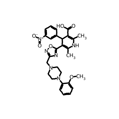 COc1ccccc1N1CCN(Cc2noc(C3=C(C)NC(C)=C(C(=O)O)C3c3cccc([N+](=O)[O-])c3)n2)CC1